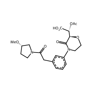 CO[C@H]1CCN(C(=O)Cc2cccc(N3CCO[C@H]([C@@H](OC(C)=O)C(=O)O)C3=O)c2)C1